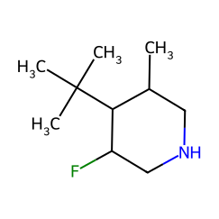 CC1CNCC(F)C1C(C)(C)C